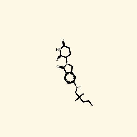 CCCC(C)(C)CNc1ccc2c(c1)CN(C1CCC(=O)NC1=O)C2=O